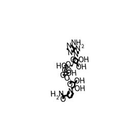 NC(=O)C1=CN([C@@H]2O[C@H](COP(=O)(O)OP(=O)(O)OC[C@H]3O[C@@H](n4cnc5c(N)ncnc54)C(O)C3O)C(O)C2O)C=CC1